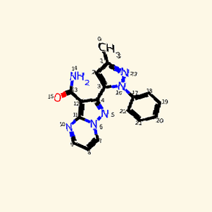 Cc1cc(-c2nn3cccnc3c2C(N)=O)n(-c2ccccc2)n1